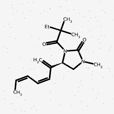 C=C(/C=C\C=C/C)[C@@H]1CN(C)C(=O)N1C(=O)C(C)(C)CC